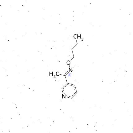 CCCCO/N=C(\C)c1cccnc1